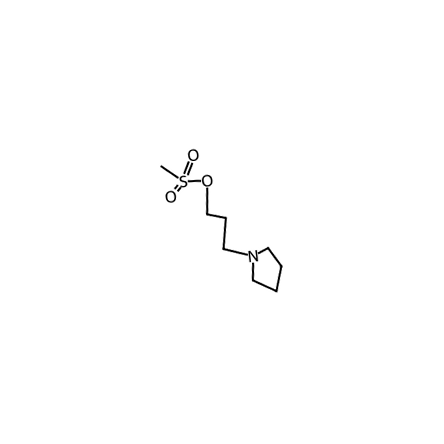 CS(=O)(=O)OCCCN1CCCC1